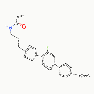 C=CC(=O)N(C)CCCc1ccc(-c2ccc(-c3ccc(CCCCC)cc3)cc2F)cc1